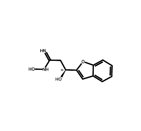 N=C(C[C@H](O)c1cc2ccccc2o1)NO